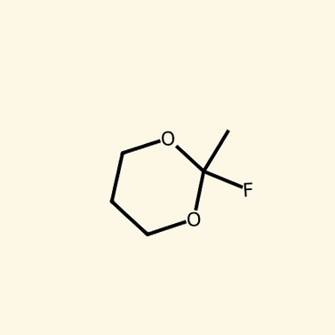 CC1(F)OCCCO1